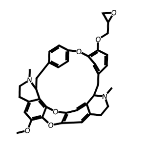 COc1cc2c3c4c1Oc1cc5c(cc1O4)C(Cc1ccc(OCC4CO4)c(c1)Oc1ccc(cc1)CC3N(C)CC2)N(C)CC5